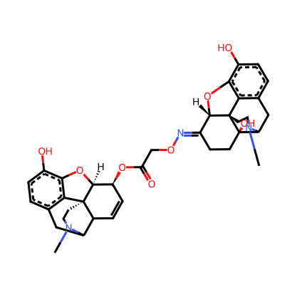 CN1CC[C@]23c4c5ccc(O)c4O[C@H]2[C@@H](OC(=O)CO/N=C2\CC[C@@]4(O)C6Cc7ccc(O)c8c7[C@@]4(CCN6C)[C@H]2O8)C=CC3C1C5